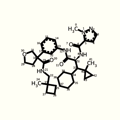 Cn1nccc1C(=O)N[C@H](C(=O)Nc1cccc(C2(C(=O)NCC3(C)CCC3)CCOC2)c1)C(C1CCCCC1)C1(C)CC1